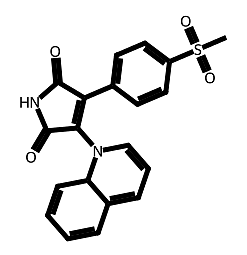 CS(=O)(=O)c1ccc(C2=C(N3C=CC=C4C=CC=CC43)C(=O)NC2=O)cc1